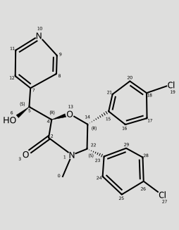 CN1C(=O)[C@@H]([C@@H](O)c2ccncc2)O[C@H](c2ccc(Cl)cc2)[C@@H]1c1ccc(Cl)cc1